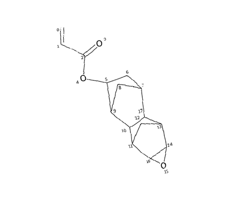 C=CC(=O)OC1CC2CC1C1C3CC(C4OC34)C21